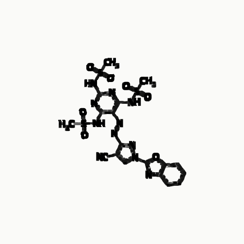 CS(=O)(=O)Nc1nc(NS(C)(=O)=O)c(N=Nc2nn(-c3nc4ccccc4o3)cc2C#N)c(NS(C)(=O)=O)n1